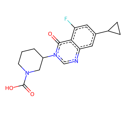 O=C(O)N1CCCC(n2cnc3cc(C4CC4)cc(F)c3c2=O)C1